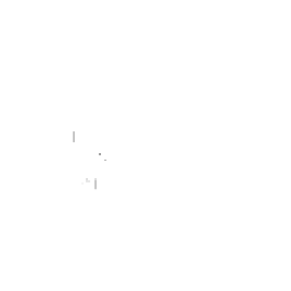 CCN(N=O)c1ccc2ccccc2c1